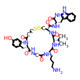 CC(C)[C@@H]1NC(=O)[C@H](CCCCN)NC(=O)CNC(=O)[C@H](Cc2ccc(O)cc2)NC(=O)CCSSC[C@@H](C(=O)N[C@@H](Cc2c[nH]c3ccccc23)C(N)=O)NC1=O